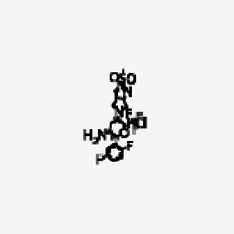 CS(=O)(=O)n1cc2c(n1)CN([C@@H]1C[C@H](N)[C@@H](c3cc(F)ccc3F)O[C@@H]1C(F)(F)F)C2.Cl